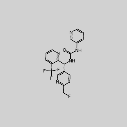 O=C(Nc1cccnc1)NC(c1ccc(CF)nc1)c1ncccc1C(F)(F)F